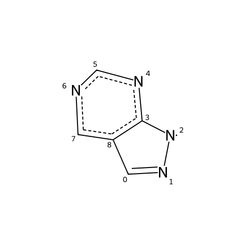 C1=N[N]c2ncncc21